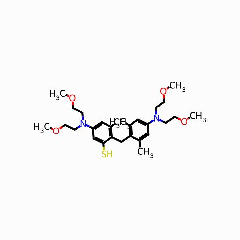 COCCN(CCOC)c1cc(C)c(Cc2c(C)cc(N(CCOC)CCOC)cc2S)c(C)c1